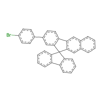 Brc1ccc(-c2ccc3c(c2)C2(c4ccccc4-c4ccccc42)c2cc4ccccc4cc2-3)cc1